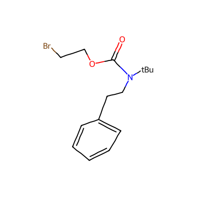 CC(C)(C)N(CCc1ccccc1)C(=O)OCCBr